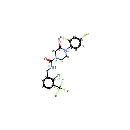 O=C(NCc1cccc(C(F)(F)F)c1Cl)N1CCN(c2ccc(F)cc2F)C(=O)C1